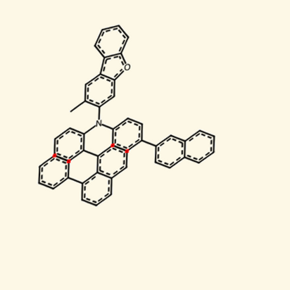 Cc1cc2c(cc1N(c1ccc(-c3ccc4ccccc4c3)cc1)c1ccccc1-c1cccc3cccc(-c4ccccc4)c13)oc1ccccc12